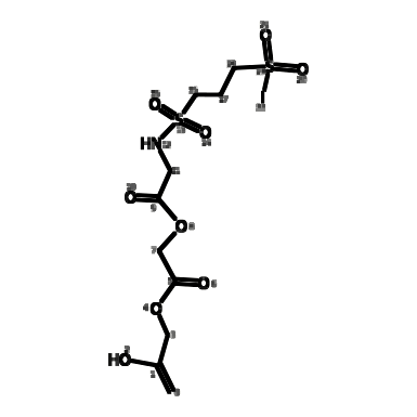 C=C(O)COC(=O)COC(=O)CNS(=O)(=O)CCCS(=O)(=O)I